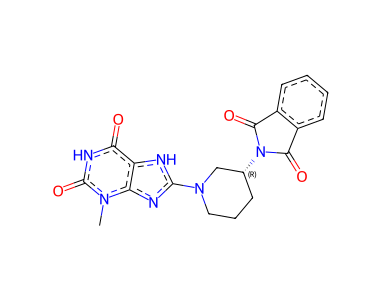 Cn1c(=O)[nH]c(=O)c2[nH]c(N3CCC[C@@H](N4C(=O)c5ccccc5C4=O)C3)nc21